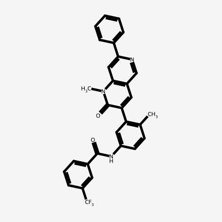 Cc1ccc(NC(=O)c2cccc(C(F)(F)F)c2)cc1-c1cc2cnc(-c3ccccc3)cc2n(C)c1=O